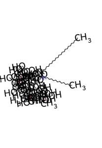 CCCCCCCCCCCCC/C=C/[C@@H](O)[C@H](CO[C@@H]1OC(CO)[C@@H](O[C@@H]2OC(CO)[C@H](O)[C@H](O[C@@H]3OC(CO)[C@@H](O[C@@H]4OC(CO)[C@H](O)[C@H](O[C@@H]5OC(CO)[C@@H](O[C@H]6OC(C)[C@@H](O)C(O)[C@@H]6O)[C@H](O[C@@H]6OC(CO)[C@H](O)[C@H](O[C@]7(C(=O)O)CC(O)[C@@H](NC(C)=O)C([C@H](O)[C@H](O)CO)O7)C6O)C5NC(C)=O)C4O)[C@H](O)C3NC(C)=O)C2O)[C@H](O)C1O)NC(=O)CCCCCCCCCCCCCCCCCCCCCCC